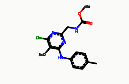 CC(=O)Oc1c(Cl)nc(CNC(=O)OC(C)(C)C)nc1Nc1ccc(C)cc1